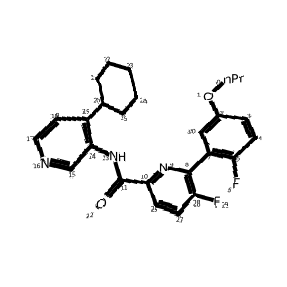 CCCOc1ccc(F)c(-c2nc(C(=O)Nc3cnccc3C3CCCCC3)ccc2F)c1